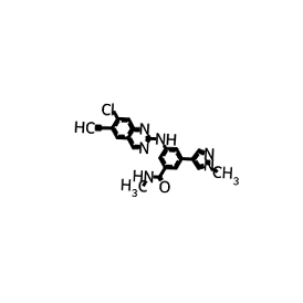 C#Cc1cc2cnc(Nc3cc(C(=O)NC)cc(-c4cnn(C)c4)c3)nc2cc1Cl